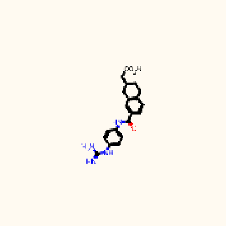 N=C(N)Nc1ccc(NC(=O)c2ccc3c(c2)CC(CC(=O)O)CC3)cc1